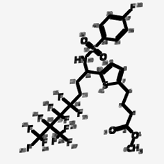 COC(=O)CCCc1ccc(C(CCC(F)(F)C(F)(F)C(F)(C(F)(F)F)C(F)(F)F)NS(=O)(=O)c2ccc(F)cc2)s1